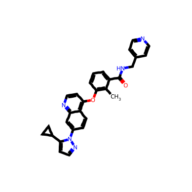 Cc1c(Oc2ccnc3cc(-n4nccc4C4CC4)ccc23)cccc1C(=O)NCc1ccncc1